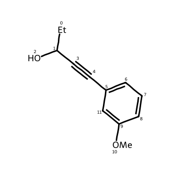 CCC(O)C#Cc1cccc(OC)c1